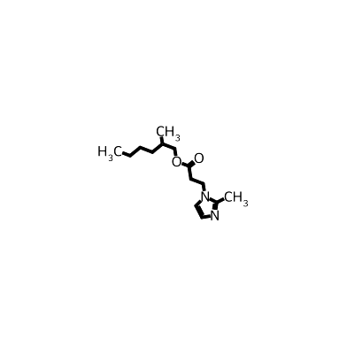 CCCCC(C)COC(=O)CCn1ccnc1C